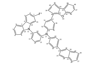 Fc1ccc2c3ccccc3n(-c3cccc(N(c4ccc(-c5ccc6ccccc6c5)cc4)c4ccc(-c5cccc6c5oc5ccccc56)cc4)c3)c2c1